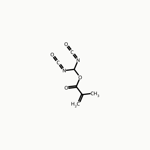 C=C(C)C(=O)OC(N=C=O)N=C=O